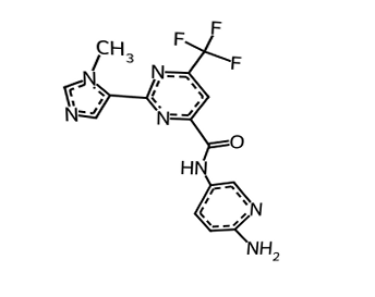 Cn1cncc1-c1nc(C(=O)Nc2ccc(N)nc2)cc(C(F)(F)F)n1